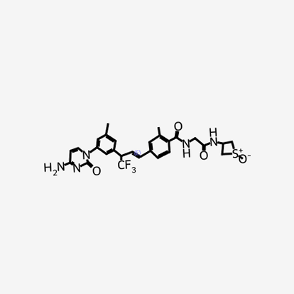 Cc1cc(C(/C=C/c2ccc(C(=O)NCC(=O)NC3C[S+]([O-])C3)c(C)c2)C(F)(F)F)cc(-n2ccc(N)nc2=O)c1